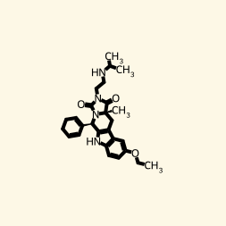 CCOc1ccc2[nH]c3c(c2c1)C[C@@]1(C)C(=O)N(CCNC(C)C)C(=O)N1[C@@H]3C1=CCCC=C1